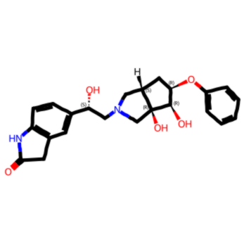 O=C1Cc2cc([C@H](O)CN3C[C@@H]4C[C@@H](Oc5ccccc5)[C@@H](O)[C@]4(O)C3)ccc2N1